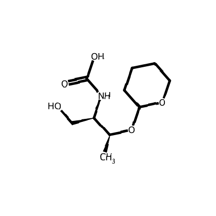 C[C@H](OC1CCCCO1)[C@@H](CO)NC(=O)O